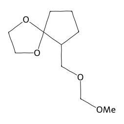 COCOCC1CCCC12OCCO2